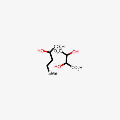 CSCCC(O)C(=O)O.O=C(O)C(O)C(O)C(=O)O